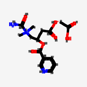 CC(=O)O.C[N+](C)(CC(CC(=O)[O-])OC(=O)c1cccnc1)C(N)=O